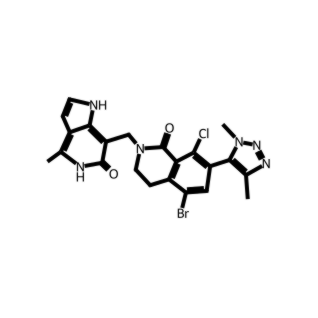 Cc1nnn(C)c1-c1cc(Br)c2c(c1Cl)C(=O)N(Cc1c(=O)[nH]c(C)c3cc[nH]c13)CC2